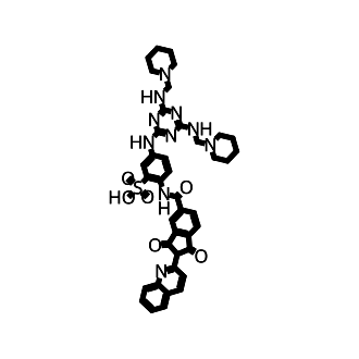 O=C(Nc1ccc(Nc2nc(NCN3CCCCC3)nc(NCN3CCCCC3)n2)cc1S(=O)(=O)O)c1ccc2c(c1)C(=O)C(c1ccc3ccccc3n1)C2=O